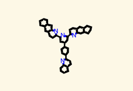 c1ccc2cc3nc(-c4cc(-c5ccc(-c6ccc7ccccc7n6)cc5)cc(-c5ccc6cc7ccccc7cc6n5)n4)ccc3cc2c1